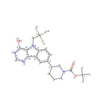 CC(C)(C)OC(=O)N1CCCC(c2ccc3c(c2)c2ncnc(O)c2n3CC(F)(F)F)C1